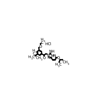 CCOCc1cc(C(=O)Cn2nc3ccc(OC(CC)CC)nn3c2=N)cc(C(C)(C)C)c1.Cl